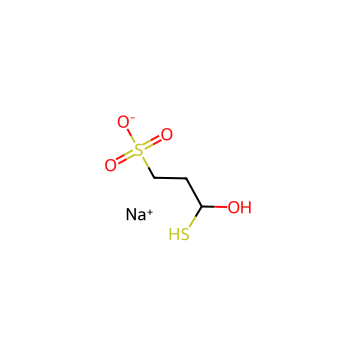 O=S(=O)([O-])CCC(O)S.[Na+]